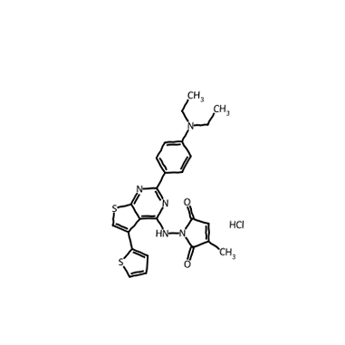 CCN(CC)c1ccc(-c2nc(NN3C(=O)C=C(C)C3=O)c3c(-c4cccs4)csc3n2)cc1.Cl